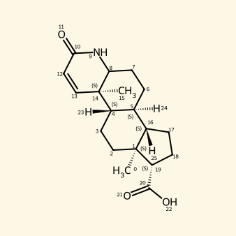 C[C@]12CC[C@H]3[C@@H](CCC4NC(=O)C=C[C@@]43C)[C@@H]1CC[C@@H]2C(=O)O